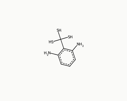 Nc1cccc(N)c1C(S)(S)S